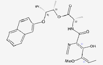 C=N/C(C(=O)N[C@@H](C)C(=O)O[C@@H](C)[C@H](Oc1ccc2ccccc2c1)C(C)C)=C(O)\C(=C/C)OC